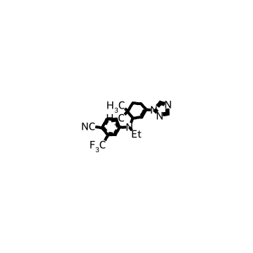 CCN(c1ccc(C#N)c(C(F)(F)F)c1)C1C=C(n2cncn2)CCC1(C)C